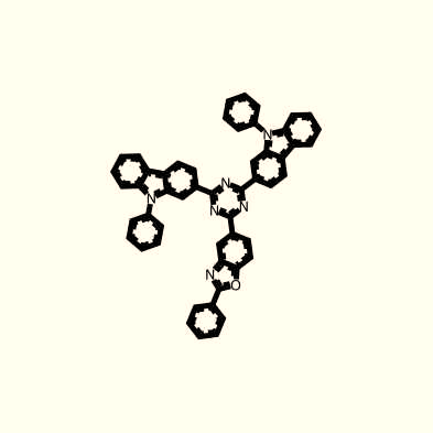 c1ccc(-c2nc3cc(-c4nc(-c5ccc6c7ccccc7n(-c7ccccc7)c6c5)nc(-c5ccc6c7ccccc7n(-c7ccccc7)c6c5)n4)ccc3o2)cc1